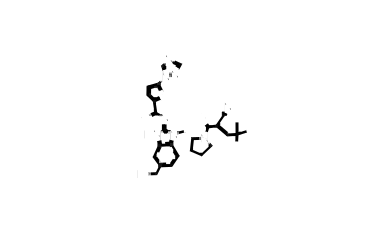 CC(C)(C)/C=C(\C#N)C(=O)N1CCC[C@@H]1Cn1/c(=N/C(=O)c2ccc(-n3cncn3)s2)[nH]c2cc(CO)ccc21